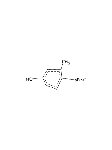 CCCCCc1ccc(O)cc1C